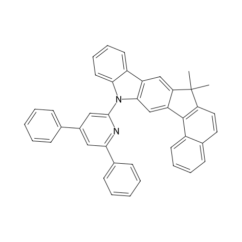 CC1(C)c2cc3c4ccccc4n(-c4cc(-c5ccccc5)cc(-c5ccccc5)n4)c3cc2-c2c1ccc1ccccc21